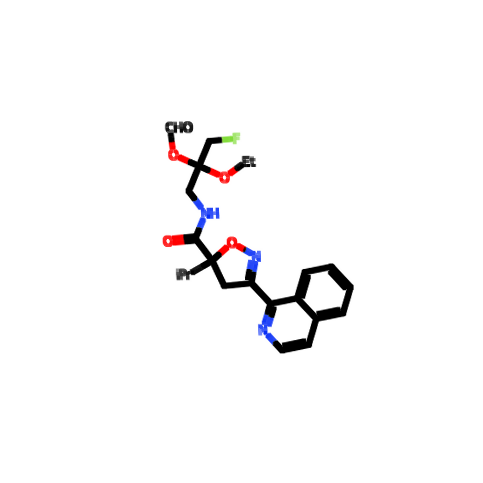 CCOC(CF)(CNC(=O)C1(C(C)C)CC(c2nccc3ccccc23)=NO1)OC=O